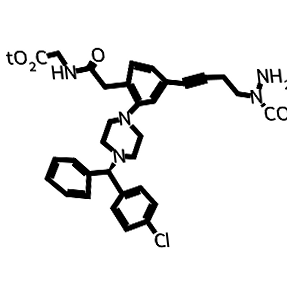 CCOC(=O)CNC(=O)Cc1ccc(C#CCCN(N)C(=O)O)cc1N1CCN([C@H](c2ccccc2)c2ccc(Cl)cc2)CC1